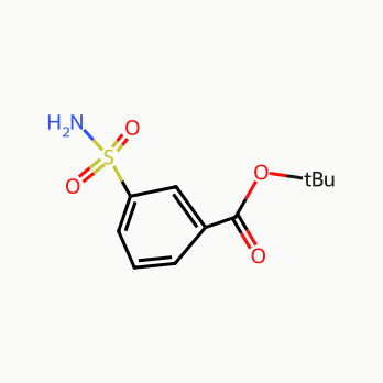 CC(C)(C)OC(=O)c1cccc(S(N)(=O)=O)c1